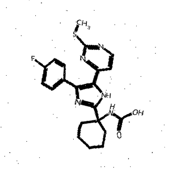 CSc1nccc(-c2[nH]c(C3(NC(=O)O)CCCCC3)nc2-c2ccc(F)cc2)n1